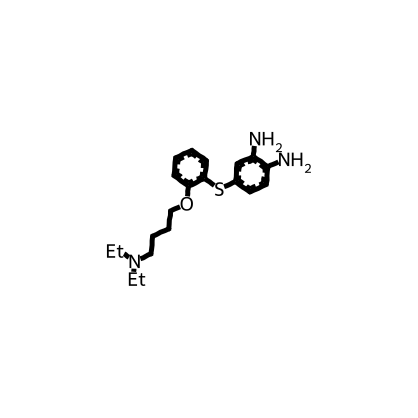 CCN(CC)CCCCOc1ccccc1Sc1ccc(N)c(N)c1